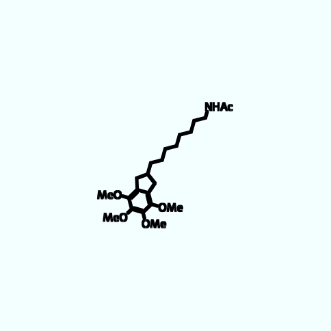 COc1c2c(c(OC)c(OC)c1OC)CC(CCCCCCCCNC(C)=O)C2